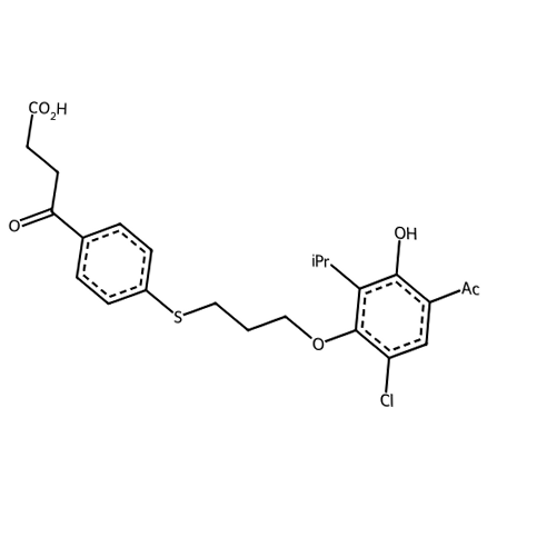 CC(=O)c1cc(Cl)c(OCCCSc2ccc(C(=O)CCC(=O)O)cc2)c(C(C)C)c1O